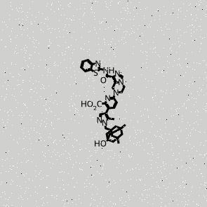 Cc1c(-c2ccc(N3CCn4cnc(C(=O)Nc5nc6ccccc6s5)c4C3)nc2C(=O)O)cnn1CC12CC3(C)CC(C)(CC(O)(C3)C1)C2